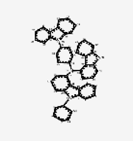 c1ccc(-n2c3ccccc3c3c(N(c4ccc(-n5c6ccccc6c6ccccc65)cc4)c4cccc5sc6ccccc6c45)cccc32)cc1